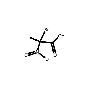 CC(Br)(C(=O)O)[N+](=O)[O-]